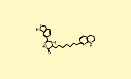 O=C(NC(CCCCCCCc1ccc2c(n1)NCCC2)C(=O)O)c1ccc2cn[nH]c2c1